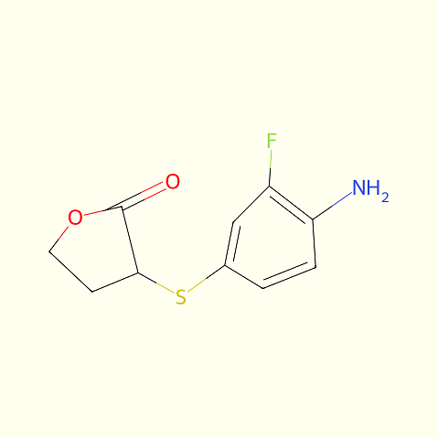 Nc1ccc(SC2CCOC2=O)cc1F